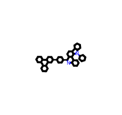 c1ccc(-n2c3ccccc3c3ccc4c(-c5ccc(-c6ccc7c8ccccc8c8ccccc8c7c6)cc5)nc5ccccc5c4c32)cc1